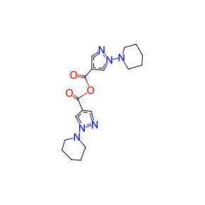 O=C(OC(=O)c1cnn(N2CCCCC2)c1)c1cnn(N2CCCCC2)c1